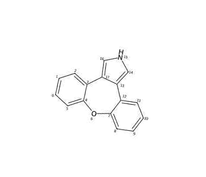 c1ccc2c(c1)Oc1ccccc1-c1c[nH]cc1-2